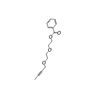 CC#CCOCCOCCOC(=O)c1ccccc1